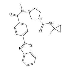 CN(C(=O)c1ccc(-c2nc3ccccc3s2)cc1)[C@@H]1CC[C@H](C(=O)NC2(C)CC2)C1